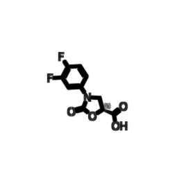 O=C(O)[C@@H]1CN(c2ccc(F)c(F)c2)C(=O)O1